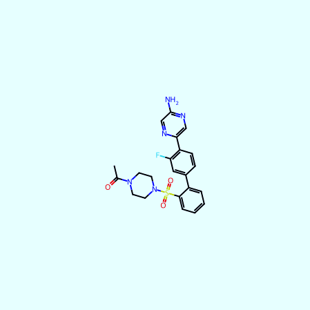 CC(=O)N1CCN(S(=O)(=O)c2ccccc2-c2ccc(-c3cnc(N)cn3)c(F)c2)CC1